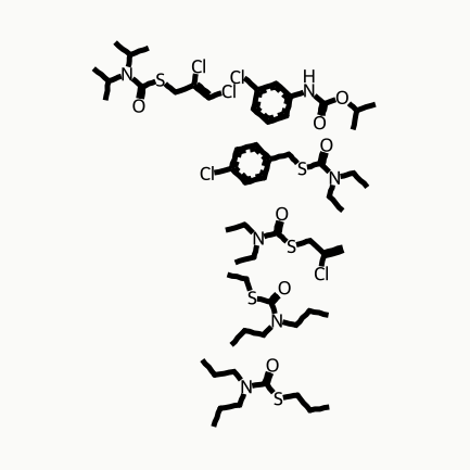 C=C(Cl)CSC(=O)N(CC)CC.CC(C)N(C(=O)SCC(Cl)=CCl)C(C)C.CC(C)OC(=O)Nc1cccc(Cl)c1.CCCN(CCC)C(=O)SCC.CCCSC(=O)N(CCC)CCC.CCN(CC)C(=O)SCc1ccc(Cl)cc1